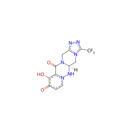 O=C1c2c(O)c(=O)ccn2N[C@@H]2Cn3c(nnc3C(F)(F)F)CN12